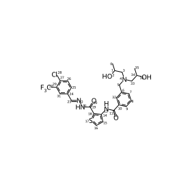 CC(O)CN(Cc1cccc(C(=O)Nc2ccsc2C(=O)NN=Cc2ccc(Cl)c(C(F)(F)F)c2)c1)CC(C)O